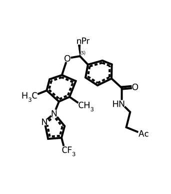 CCC[C@H](Oc1cc(C)c(-n2cc(C(F)(F)F)cn2)c(C)c1)c1ccc(C(=O)NCCC(C)=O)cc1